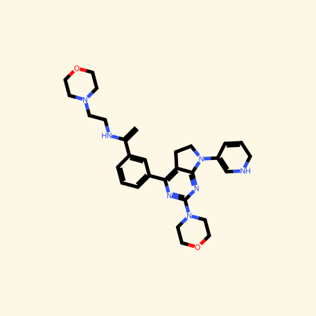 C=C(NCCN1CCOCC1)c1cccc(-c2nc(N3CCOCC3)nc3c2CCN3C2=CNCC=C2)c1